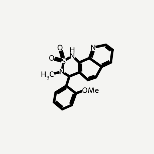 COc1ccccc1C1c2ccc3cccnc3c2NS(=O)(=O)N1C